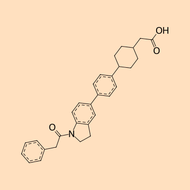 O=C(O)CC1CCC(c2ccc(-c3ccc4c(c3)CCN4C(=O)Cc3ccccc3)cc2)CC1